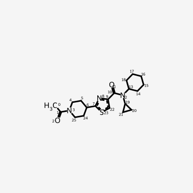 CC(=O)N1CCC(c2nc(C(=O)N(C3CCCCC3)C3CC3)cs2)CC1